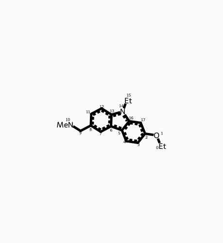 CCOc1ccc2c3cc(CNC)ccc3n(CC)c2c1